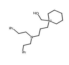 CC(C)CCN(CCC[N+]1(CO)CCCCC1)CCC(C)C